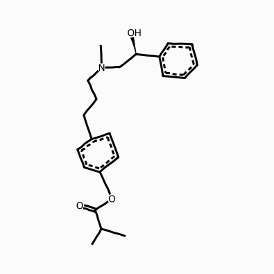 CC(C)C(=O)Oc1ccc(CCCN(C)C[C@@H](O)c2ccccc2)cc1